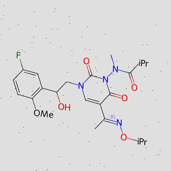 COc1ccc(F)cc1C(O)Cn1cc(/C(C)=N/OC(C)C)c(=O)n(N(C)C(=O)C(C)C)c1=O